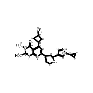 Cc1nc2nc(C3CCOC(c4cnn(C5CC5)c4)C3)cc(C3CC(C(F)(F)F)C3)c2c(=O)n1C